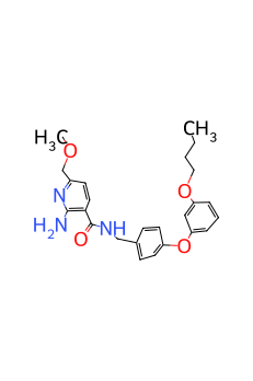 CCCCOc1cccc(Oc2ccc(CNC(=O)c3ccc(COC)nc3N)cc2)c1